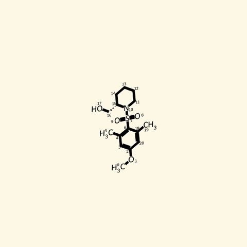 COc1cc(C)c(S(=O)(=O)N2CCCC[C@H]2CO)c(C)c1